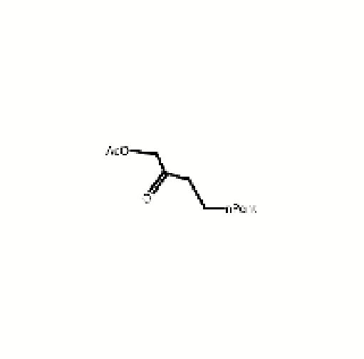 CCCCCCCC(=O)COC(C)=O